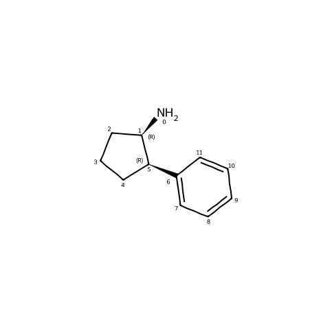 N[C@@H]1CCC[C@@H]1c1ccccc1